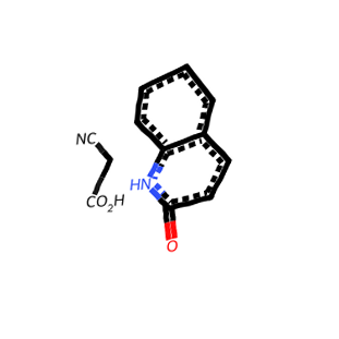 N#CCC(=O)O.O=c1ccc2ccccc2[nH]1